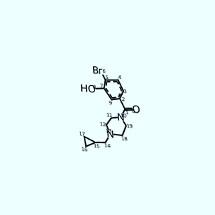 O=C(c1ccc(Br)c(O)c1)N1CCN(CC2CC2)CC1